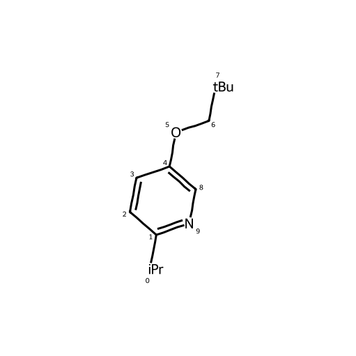 CC(C)c1ccc(OCC(C)(C)C)cn1